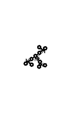 c1ccc(-n2c(-c3ccc(-c4ccc(-c5ccc(-c6nc7ccccc7n6-c6ccccc6)cc5)c5sc(-c6ccc7c(c6)c6ccccc6n7-c6ccccc6)nc45)cc3)nc3ccccc32)cc1